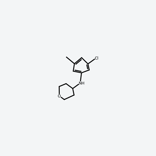 Cc1cc(Cl)cc(NC2CCOCC2)c1